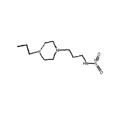 CCCN1CCN(CCCN[SH](=O)=O)CC1